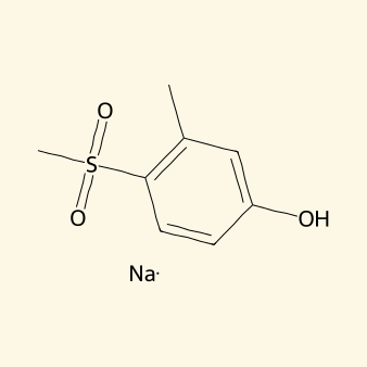 Cc1cc(O)ccc1S(C)(=O)=O.[Na]